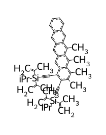 C=C(C)[Si](C#Cc1c(C)c(C)c2c(C)c3c(C)c4cc5ccccc5cc4cc3cc2c1C#C[Si](C(=C)C)(C(=C)C)C(C)C)(C(=C)C)C(C)C